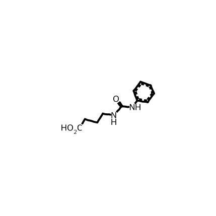 O=C(O)CCCNC(=O)Nc1ccccc1